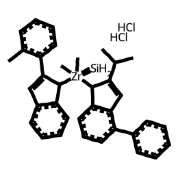 Cc1ccccc1C1=Cc2ccccc2[CH]1[Zr]([CH3])([CH3])(=[SiH2])[CH]1C(C(C)C)=Cc2c(-c3ccccc3)cccc21.Cl.Cl